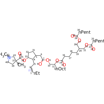 CC/C=C\CC1C(CC(=O)OCC(CCCCCCCC)OC(=O)CCCCC(COC(=O)CCCCC)COC(=O)CCCCC)CCC1OC(=O)C1(C)CCN(C)C1